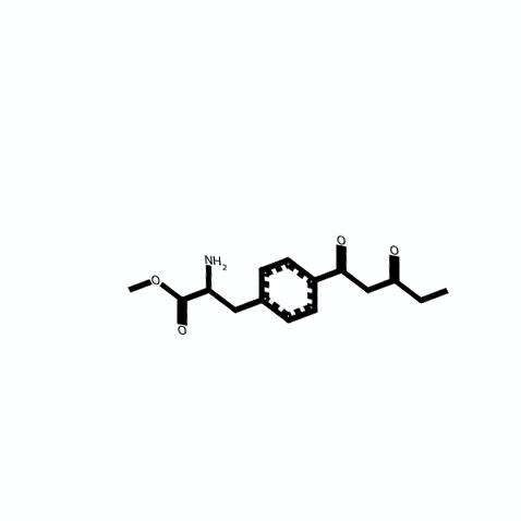 CCC(=O)CC(=O)c1ccc(CC(N)C(=O)OC)cc1